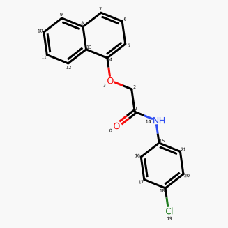 O=C(COc1cccc2ccccc12)Nc1ccc(Cl)cc1